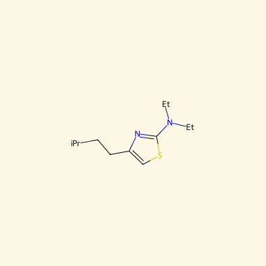 CCN(CC)c1nc(CCC(C)C)cs1